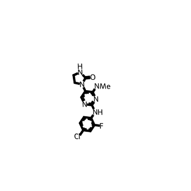 CNc1nc(Nc2ccc(Cl)cc2F)ncc1N1CCNC1=O